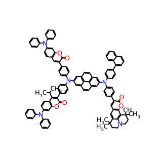 CC(C)c1c(-c2ccc(N(c3ccc(-c4cc5ccc(N(c6ccccc6)c6ccccc6)cc5oc4=O)cc3)c3cc4ccc5cc(N(c6ccc(-c7cc8cc9c%10c(c8oc7=O)C(C)(C)CCN%10CCC9(C)C)cc6)c6ccc(-c7cccc8ccccc78)cc6)cc6ccc(c3)c4c56)cc2)c(=O)oc2cc(N(c3ccccc3)c3ccccc3)ccc12